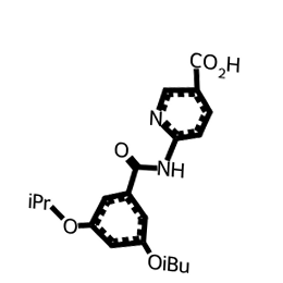 CC(C)COc1cc(OC(C)C)cc(C(=O)Nc2ccc(C(=O)O)cn2)c1